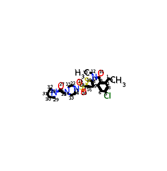 CCc1cc(Cl)ccc1C(=O)N(CC)c1ccc(S(=O)(=O)N2CCN(CC(=O)N3CCCC3)CC2)s1